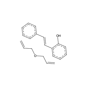 C=CCOCC=C.Oc1ccccc1/C=C/c1ccccc1